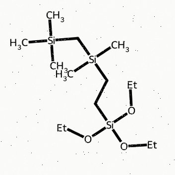 CCO[Si](CC[Si](C)(C)C[Si](C)(C)C)(OCC)OCC